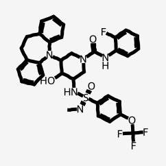 CN=S(=O)(NC1CN(C(=O)Nc2ccccc2F)CC(N2c3ccccc3CCc3ccccc32)C1O)c1ccc(OC(F)(F)F)cc1